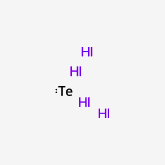 I.I.I.I.[Te]